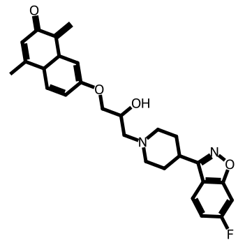 C=C1C(=O)C=C(C)C2C=CC(OCC(O)CN3CCC(c4noc5cc(F)ccc45)CC3)=CC12